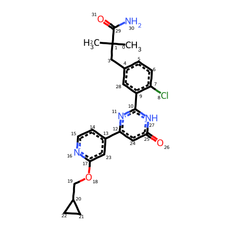 CC(C)(Cc1ccc(Cl)c(-c2nc(-c3ccnc(OCC4CC4)c3)cc(=O)[nH]2)c1)C(N)=O